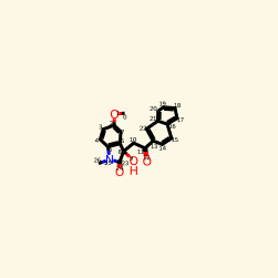 COc1ccc2c(c1)C(O)(CC(=O)c1ccc3ccccc3c1)C(=O)N2C